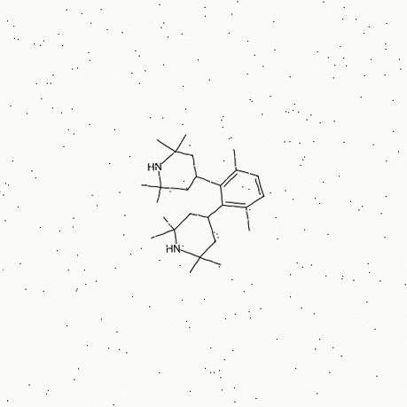 Cc1ccc(C)c(C2CC(C)(C)NC(C)(C)C2)c1C1CC(C)(C)NC(C)(C)C1